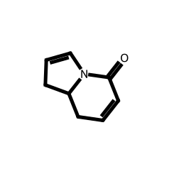 O=C1C=CCC2CC=CN12